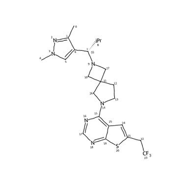 Cc1nn(C)cc1[C@H](C(C)C)N1CC2(CCN(c3ncnc4sc(CC(F)(F)F)cc34)C2)C1